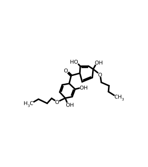 CCCCOC1(O)C=CC(C(=O)C2C=CC(O)(OCCCC)C=C2O)C(O)=C1